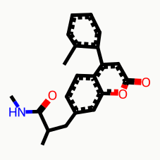 CNC(=O)C(C)Cc1ccc2c(-c3ccccc3C)cc(=O)oc2c1